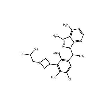 COc1c(C(C)n2nc(C)c3c(N)ncnc32)cc(Cl)c(C)c1C1CN(CC(O)C(F)(F)F)C1